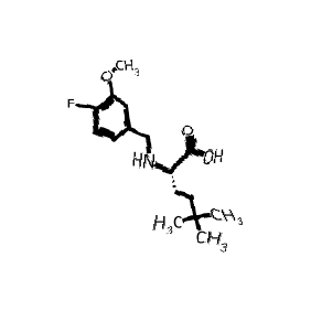 COc1cc(CN[C@@H](CCC(C)(C)C)C(=O)O)ccc1F